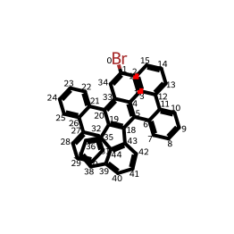 Brc1ccc2c(-c3ccccc3-c3ccccc3)c3c(c(-c4ccccc4-c4ccccc4)c2c1)-c1cccc2cccc-3c12